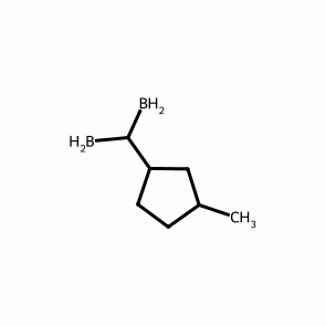 BC(B)C1CCC(C)C1